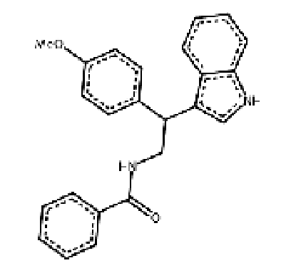 COc1ccc(C(CNC(=O)c2ccccc2)c2c[nH]c3ccccc23)cc1